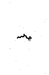 C[C]CCC=C(C)CCC1OC1(C)C